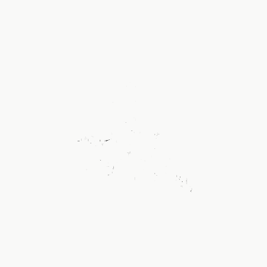 CN(C(=O)c1ccc2nc(N)c3c(c2c1)COC3)[C@@H]1COc2cc([N+](=O)[O-])ccc21